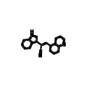 N#CC(=Cc1cccc2ncccc12)c1c[nH]c2ccccc12